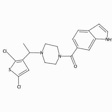 CC(c1cc(Cl)sc1Cl)N1CCN(C(=O)c2ccc3cc[nH]c3c2)CC1